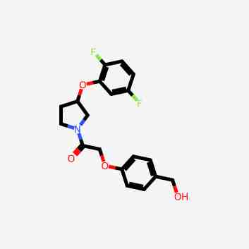 O=C(COc1ccc(CO)cc1)N1CCC(Oc2cc(F)ccc2F)C1